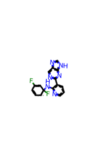 FC1=CC(F)(Nc2ncccc2-c2ncc3nc[nH]c3n2)[CH]C=C1